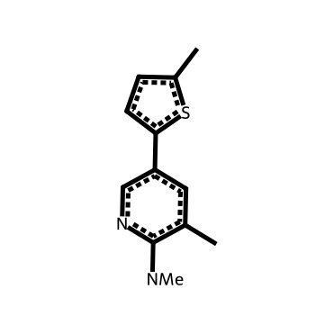 CNc1ncc(-c2ccc(C)s2)cc1C